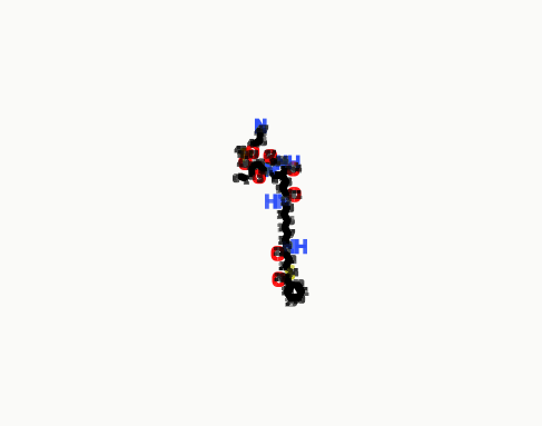 CC[C@H]1O[C@@H](n2cc(/C=C/C(=O)NCCCCCCNC(=O)CCSC(=O)c3ccccc3)c(=O)[nH]c2=O)CC1OP(C)OCCC#N